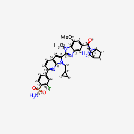 COc1cc(C(=O)N2CC3CCC2[C@@H]3N)cc2nc(-c3cc4ccc(-c5ccc(S(N)(=O)=O)c(F)c5)nc4n3CC3CC3)n(C)c12